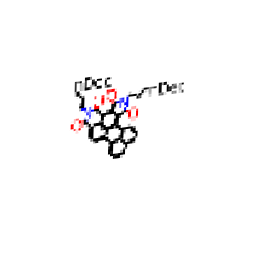 CCCCCCCCCCCCCN1C(=O)c2ccc3c4cccc5cccc(c54)c4c5c(=O)n(CCCCCCCCCCCCC)c(=O)c5c(c2c34)C1=O